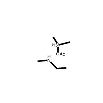 CC(=O)O[SiH](C)C.CCNC